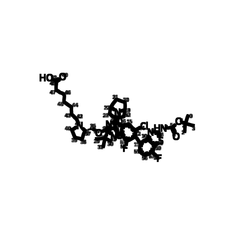 CC(C)(C)OC(=O)Nc1nc2c(-c3c(Cl)cc4c(N5C6CCC5CN(C(=O)OC(C)(C)C)C6)nc(OC[C@@H]5CCCN5CCCCCCC(=O)O)nc4c3F)ccc(F)c2s1